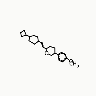 COc1ccc(C2CCC(/C=C/C3CCC(C4CCC4)CC3)OC2)cc1